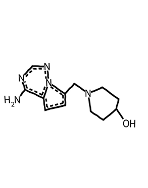 Nc1ncnn2c(CN3CCC(O)CC3)ccc12